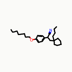 CCCCCCCOc1ccc(C(C#N)CC2(CCCC)CCCCC2)cc1